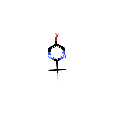 CC(C)(F)c1ncc(Br)cn1